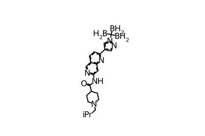 BC(B)(B)n1cc(-c2ccc3cnc(NC(=O)C4CCN(CC(C)C)CC4)cc3n2)cn1